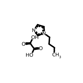 CCCCn1ccnc1.O=C(O)C(=O)O